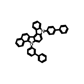 c1ccc(-c2ccc(-n3c4ccccc4c4c5c6ccc7ccccc7c6n(-c6cccc(-c7ccccc7)c6)c5ccc43)cc2)cc1